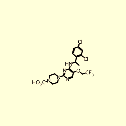 CC(Nc1nc(N2CCN(C(=O)O)CC2)ncc1OCC(F)(F)F)c1ccc(Cl)cc1Cl